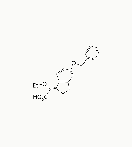 CCOC(C(=O)O)=C1CCc2cc(OCc3ccccc3)ccc21